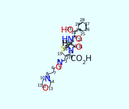 O=C(O)C1=C(C=NOCCCN2CCOCC2)CS[C@H]2[C@H](NC(=O)C(O)c3ccccc3)C(=O)N12